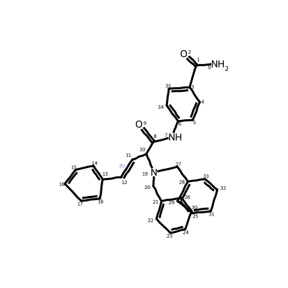 NC(=O)c1ccc(NC(=O)C(/C=C/c2ccccc2)N(Cc2ccccc2)Cc2ccccc2)cc1